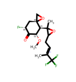 CO[C@@H]1C(=O)[C@H](F)C[C@]2(CO2)[C@H]1C1(C)OC1C/C=C(\C)C(F)(F)F